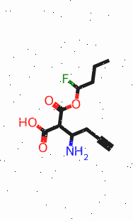 C#CCC(N)C(C(=O)O)C(=O)OC(F)CCC